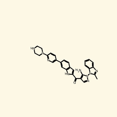 Cc1nc2ccccc2n1-n1ncc(C(=O)c2cc3ccc(-c4ccc(N5CCNCC5)nc4)cc3[nH]2)c1N